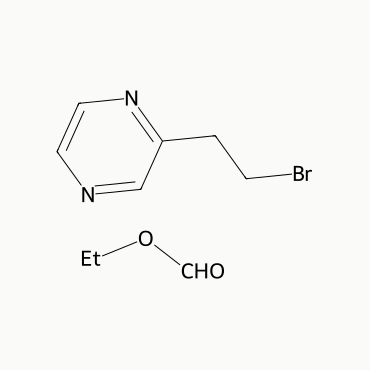 BrCCc1cnccn1.CCOC=O